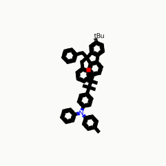 Cc1ccc(N(c2ccccc2)c2ccc(C(C)(C)C(C)(C)c3ccc4c(c3)C(Cc3ccccc3)(Cc3ccccc3)c3cc(C(C)(C)C)ccc3-4)cc2)cc1